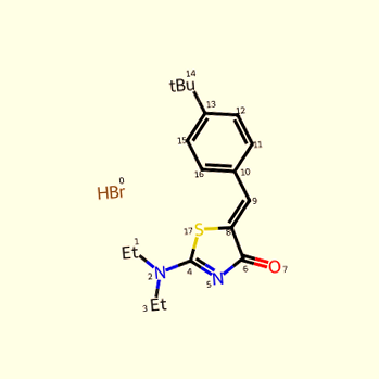 Br.CCN(CC)C1=NC(=O)C(=Cc2ccc(C(C)(C)C)cc2)S1